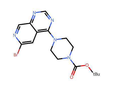 CC(C)(C)OC(=O)N1CCN(c2ncnc3cnc(Br)cc23)CC1